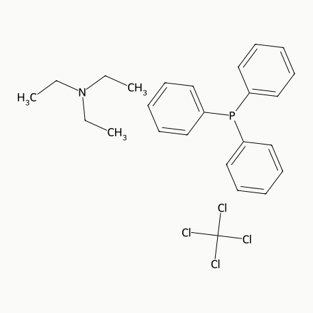 CCN(CC)CC.ClC(Cl)(Cl)Cl.c1ccc(P(c2ccccc2)c2ccccc2)cc1